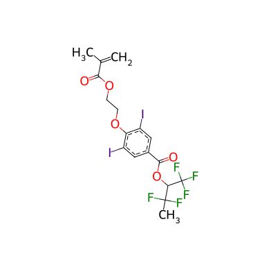 C=C(C)C(=O)OCCOc1c(I)cc(C(=O)OC(C(C)(F)F)C(F)(F)F)cc1I